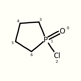 O=P1(Cl)CCCC1